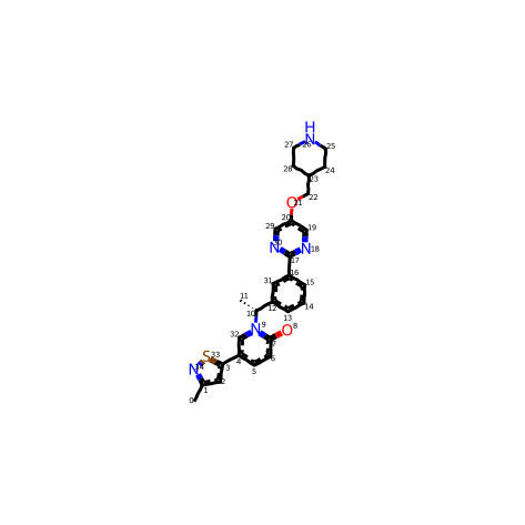 Cc1cc(-c2ccc(=O)n([C@H](C)c3cccc(-c4ncc(OCC5CCNCC5)cn4)c3)c2)sn1